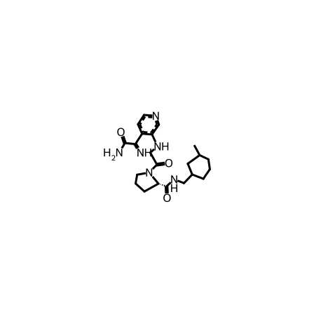 CC1CCCC(CNC(=O)[C@@H]2CCCN2C(=O)CNc2cnccc2C(=N)C(N)=O)C1